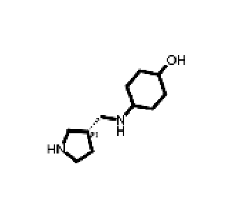 OC1CCC(NC[C@@H]2CCNC2)CC1